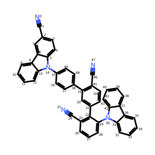 N#Cc1ccc2c(c1)c1ccccc1n2-c1ccc(-c2cc(-c3c(C#N)cccc3-n3c4ccccc4c4ccccc43)ccc2C#N)cc1